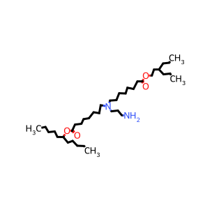 CCCCCC(CCCCC)OC(=O)CCCCCCCN(CCCN)CCCCCCCC(=O)OCCC(CCC)CCC